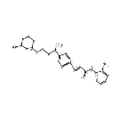 Nc1ccccc1NC(=O)/C=C/c1ccc(C(CCCN2CCCC(O)C2)C(=O)O)cc1